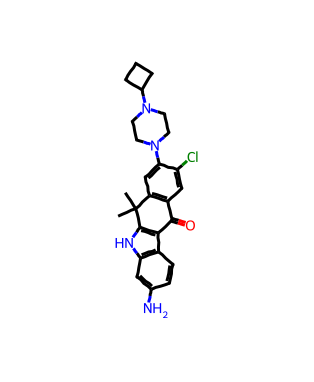 CC1(C)c2cc(N3CCN(C4CCC4)CC3)c(Cl)cc2C(=O)c2c1[nH]c1cc(N)ccc21